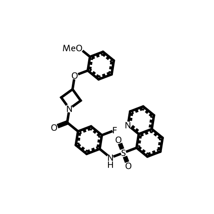 COc1ccccc1OC1CN(C(=O)c2ccc(NS(=O)(=O)c3cccc4cccnc34)c(F)c2)C1